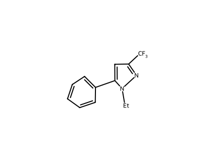 CCn1nc(C(F)(F)F)cc1-c1ccccc1